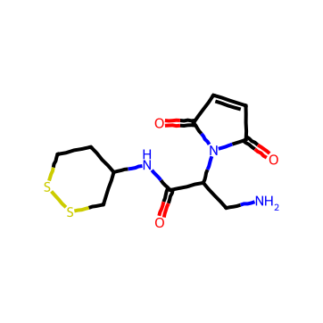 NCC(C(=O)NC1CCSSC1)N1C(=O)C=CC1=O